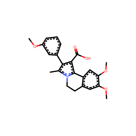 COc1cccc(-c2c(C(=O)O)c3n(c2C)CCc2cc(OC)c(OC)cc2-3)c1